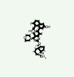 C#Cc1c(F)ccc2cc(O)cc(-c3ncc4c(N5CCOCC5)nc(OC[C@]56CCC[C@H]5N(C)CCC6)nc4c3F)c12